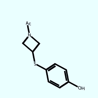 CC(=O)N1CC(Sc2ccc(O)cc2)C1